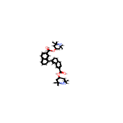 CC1(C)CC(OC(=O)c2ccc3ccc(-c4cccc5ccc(C(=O)OC6CC(C)(C)NC(C)(C)C6)cc45)cc3c2)CC(C)(C)N1